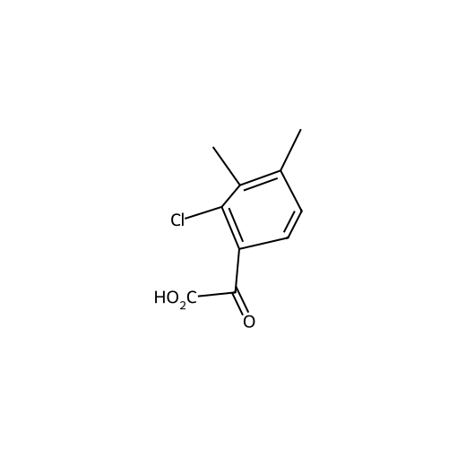 Cc1ccc(C(=O)C(=O)O)c(Cl)c1C